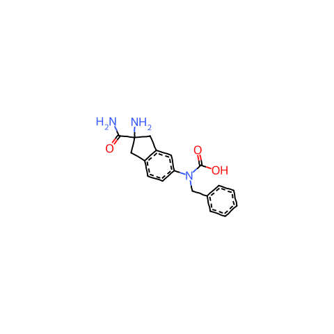 NC(=O)C1(N)Cc2ccc(N(Cc3ccccc3)C(=O)O)cc2C1